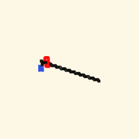 C=C(C#N)C(=O)OCCCCCCCCCCCCCCCCCCCCCC